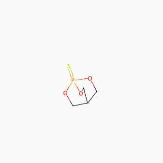 S=P12OC[C](CO1)CO2